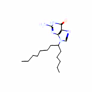 CCCCCCCC(CCCCC)n1cnc2c(=O)[nH]c(N)nc21